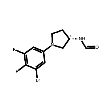 O=CN[C@H]1CCN(c2cc(F)c(F)c(Br)c2)C1